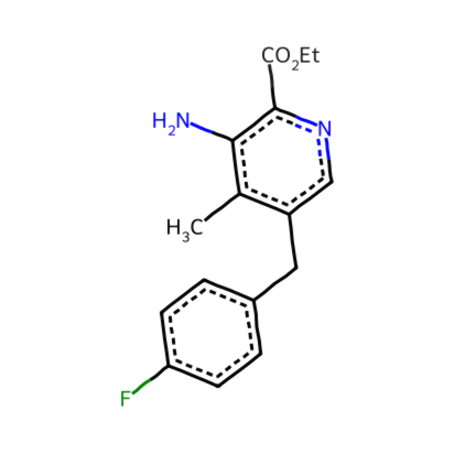 CCOC(=O)c1ncc(Cc2ccc(F)cc2)c(C)c1N